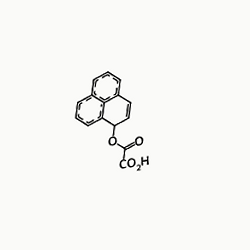 O=C(O)C(=O)OC1C=Cc2cccc3cccc1c23